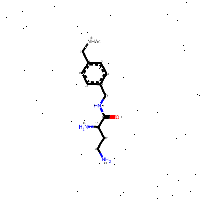 CC(=O)NCc1ccc(CNC(=O)C(N)CCN)cc1